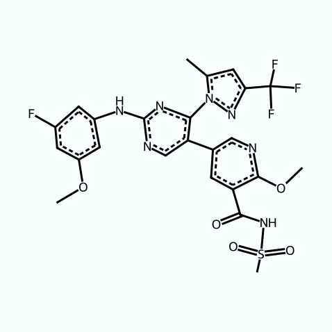 COc1cc(F)cc(Nc2ncc(-c3cnc(OC)c(C(=O)NS(C)(=O)=O)c3)c(-n3nc(C(F)(F)F)cc3C)n2)c1